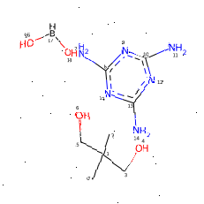 CC(C)(CO)CO.Nc1nc(N)nc(N)n1.OBO